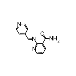 NC(=O)c1cccnc1N=Cc1ccncc1